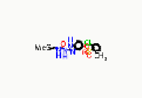 COCCNC(=O)Nc1nc2cc(OS(=O)(=O)c3c(C)cccc3Cl)ccc2[nH]1